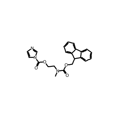 CN(CCOC(=O)n1ccnc1)C(=O)OCC1c2ccccc2-c2ccccc21